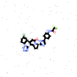 O=C(Nc1ccc(-c2cnc([C@@H]3CCc4cc(-c5cc(Cl)ccc5-n5cnnn5)cc(=O)n43)[nH]2)cc1)C(F)F